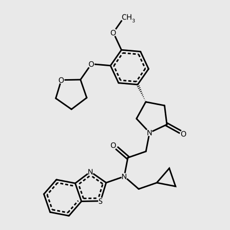 COc1ccc([C@@H]2CC(=O)N(CC(=O)N(CC3CC3)c3nc4ccccc4s3)C2)cc1OC1CCCO1